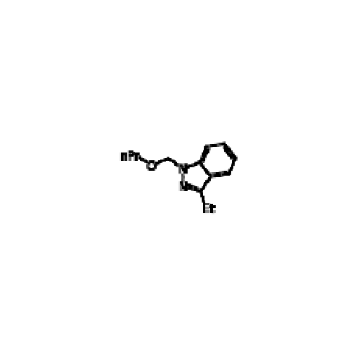 CCCOCn1nc(CC)c2ccccc21